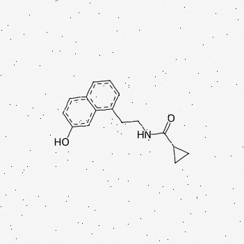 O=C(NCCc1cccc2ccc(O)cc12)C1CC1